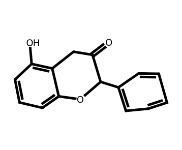 O=C1Cc2c(O)cccc2OC1c1ccccc1